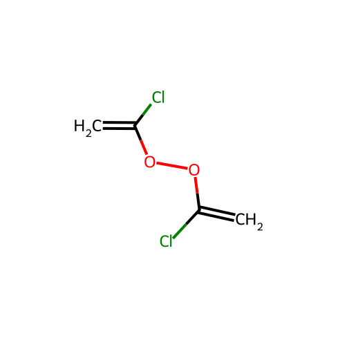 C=C(Cl)OOC(=C)Cl